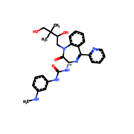 CNc1cccc(NC(=O)N[C@H]2N=C(c3ccccn3)c3ccccc3N(CC(O)C(C)(C)CO)C2=O)c1